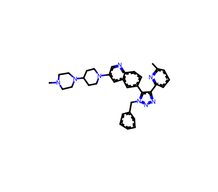 Cc1cccc(-c2nnn(Cc3ccccc3)c2-c2ccc3ncc(N4CCC(N5CCN(C)CC5)CC4)cc3c2)n1